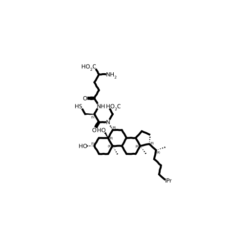 CC(C)CCC[C@@H](C)[C@H]1CCC2C3C[C@@H](N(CC(=O)O)C(=O)[C@@H](CS)NC(=O)CCC(N)C(=O)O)[C@@]4(O)C[C@@H](O)CC[C@]4(C)C3CC[C@@]21C